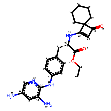 CCOC(=O)[C@H](Cc1ccc(Nc2ncc(N)cc2N)cc1)NC1=CC(=O)C12CCCCC2